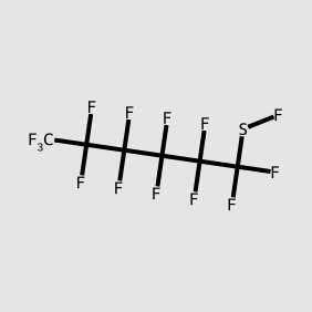 FSC(F)(F)C(F)(F)C(F)(F)C(F)(F)C(F)(F)C(F)(F)F